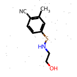 Cc1cc(SNCCO)ccc1C#N